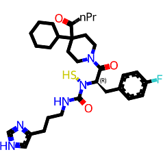 CCCC(=O)C1(C2CCCCC2)CCN(C(=O)[C@@H](Cc2ccc(F)cc2)N(S)C(=O)NCCCc2c[nH]cn2)CC1